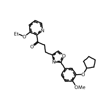 CCOc1cccnc1C(=O)CCc1coc(-c2ccc(OC)c(OC3CCCC3)c2)n1